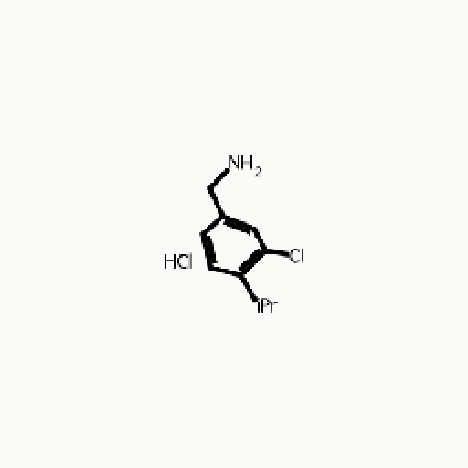 CC(C)c1ccc(CN)cc1Cl.Cl